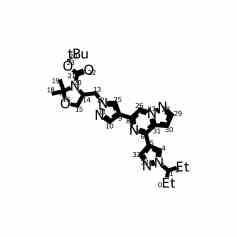 CCC(CC)n1cc(-c2nc(-c3cnn(CC4COC(C)(C)N4C(=O)OC(C)(C)C)c3)cn3nccc23)cn1